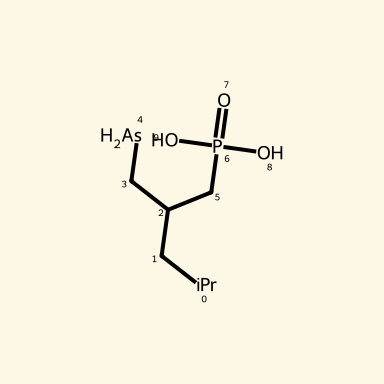 CC(C)CC(C[AsH2])CP(=O)(O)O